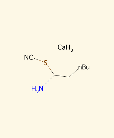 CCCCCC(N)SC#N.[CaH2]